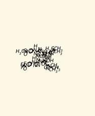 CC(C)(C)c1cc([C@H]2O[C@@H](n3cnc4c(NC5CCN(C(=O)C(F)(F)F)CC5)ncnc43)[C@H](O)[C@@H]2O)on1.COC(=O)N1CCC(Nc2ncnc3c2ncn3[C@@H]2O[C@H](c3cc(C(C)(C)C)no3)[C@@H](O)[C@H]2O)CC1